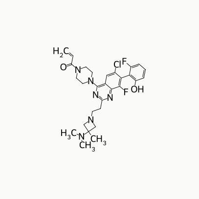 C=CC(=O)N1CCN(c2nc(CCN3CC(C)(N(C)C)C3)nc3c(F)c(-c4c(O)cccc4F)c(Cl)cc23)CC1